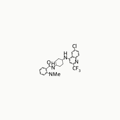 CNc1ccccc1C(=O)NC1CCC(Nc2cc(C(F)(F)F)nc3ccc(Cl)cc23)CC1